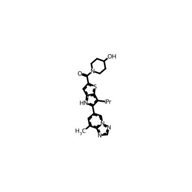 Cc1cc(-c2[nH]c3cc(C(=O)N4CCC(O)CC4)sc3c2C(C)C)cn2ncnc12